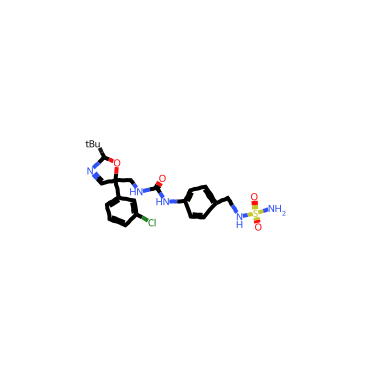 CC(C)(C)C1N=CC(CNC(=O)Nc2ccc(CNS(N)(=O)=O)cc2)(c2cccc(Cl)c2)O1